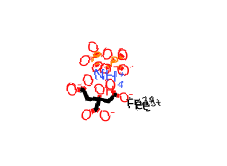 O=C([O-])CC(O)(CC(=O)[O-])C(=O)[O-].O=P([O-])([O-])OP(=O)([O-])[O-].[Fe+3].[Fe+3].[NH4+]